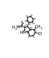 Cc1c(Cl)ccc2[nH]c(C(N)=S)c(-c3ccccc3)c12